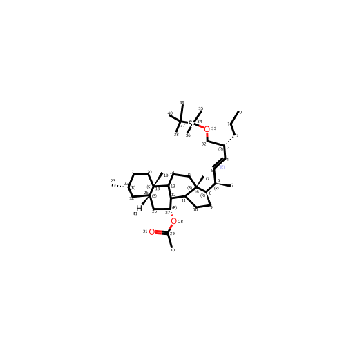 CCC[C@H](/C=C/[C@@H](C)[C@H]1CCC2C3C(CC[C@@]21C)[C@@]1(C)CC[C@@H](C)C[C@H]1C[C@H]3OC(C)=O)CO[Si](C)(C)C(C)(C)C